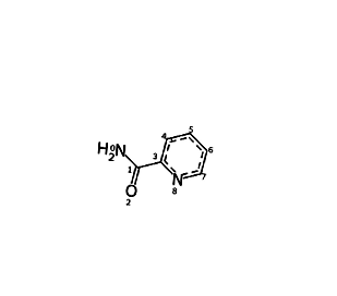 NC(=O)c1[c]cccn1